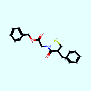 O=C(CNC(=O)C(CS)Cc1ccccc1)OCc1ccccc1